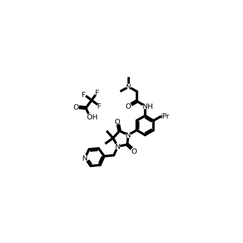 CC(C)c1ccc(N2C(=O)N(Cc3ccncc3)C(C)(C)C2=O)cc1NC(=O)CN(C)C.O=C(O)C(F)(F)F